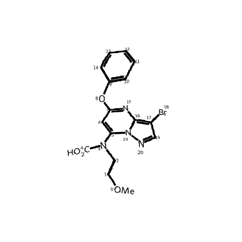 COCCN(C(=O)O)c1cc(Oc2ccccc2)nc2c(Br)cnn12